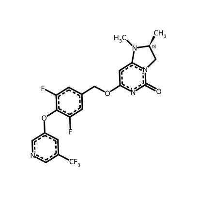 C[C@H]1Cn2c(cc(OCc3cc(F)c(Oc4cncc(C(F)(F)F)c4)c(F)c3)nc2=O)N1C